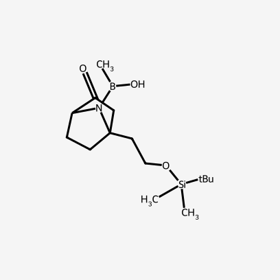 CB(O)N1C2CCC1(CCO[Si](C)(C)C(C)(C)C)CC2=O